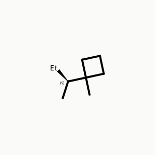 CC[C@H](C)C1(C)CCC1